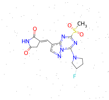 CS(=O)(=O)c1nc(N2CC[C@H](F)C2)n2ncc(/C=C3\CC(=O)NC3=O)c2n1